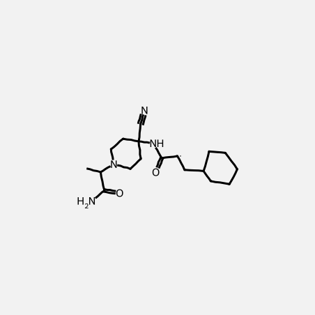 CC(C(N)=O)N1CCC(C#N)(NC(=O)[CH]CC2CCCCC2)CC1